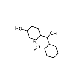 CO[C@@H]1CC(O)CCC1C(O)C1CCCCC1